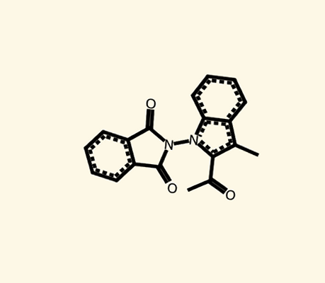 CC(=O)c1c(C)c2ccccc2n1N1C(=O)c2ccccc2C1=O